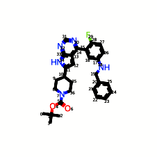 CC(C)(C)OC(=O)N1CCC(c2cc3c(-c4cc(NCc5ccccc5)ccc4F)ncnc3[nH]2)CC1